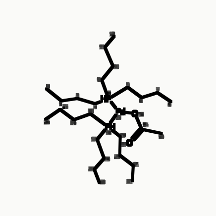 CCCC[PH](CCCC)(CCCC)[Pd]([O]C(C)=O)[PH](CCCC)(CCCC)CCCC